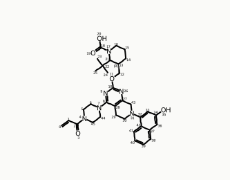 C=CC(=O)N1CCN(c2nc(OC[C@@H]3CCCN(C(=O)O)C3C(C)(C)C)nc3c2CCN(c2cc(O)cc4ccccc24)C3)CC1